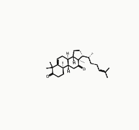 CC(C)=CCC[C@@H](C)[C@H]1CC[C@H]2[C@@H]3CC=C4C(C)(C)C(=O)CC[C@]4(C)[C@H]3CC(=O)[C@]12C